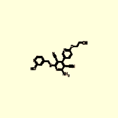 N#Cc1c(N)nc(SCc2ccnc(O)c2)c(C#N)c1-c1ccc(OCCO)nc1